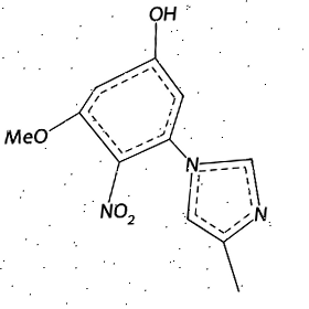 COc1cc(O)cc(-n2cnc(C)c2)c1[N+](=O)[O-]